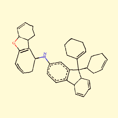 C1=CC2c3ccc(NC4CC=CC5=C4C4CCC=CC4O5)cc3C(C3=CCCCC3)(C3CC=CCC3)C2C=C1